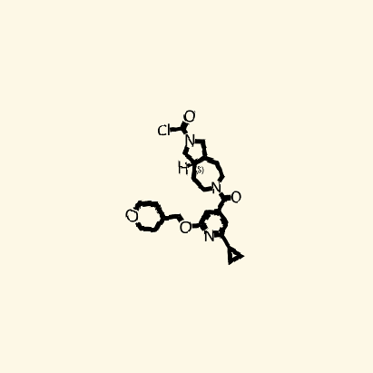 O=C(Cl)N1CC2CCN(C(=O)c3cc(OCC4CCOCC4)nc(C4CC4)c3)CC[C@@H]2C1